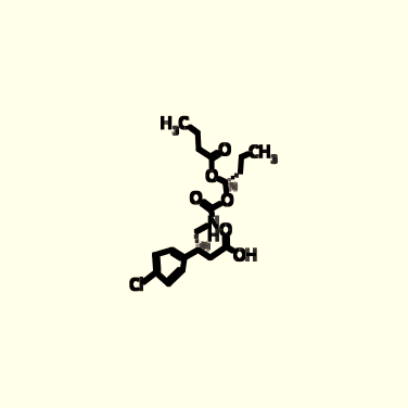 CCCC(=O)O[C@H](CCC)OC(=O)NC[C@H](CC(=O)O)c1ccc(Cl)cc1